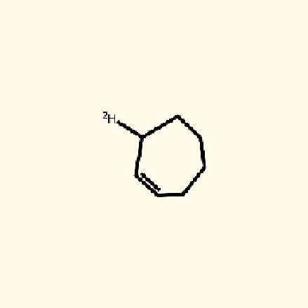 [2H]C1C=CCCCC1